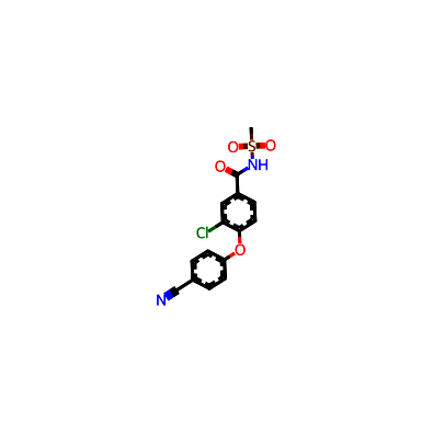 CS(=O)(=O)NC(=O)c1ccc(Oc2ccc(C#N)cc2)c(Cl)c1